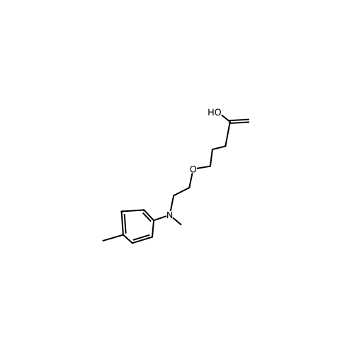 C=C(O)CCCOCCN(C)c1ccc(C)cc1